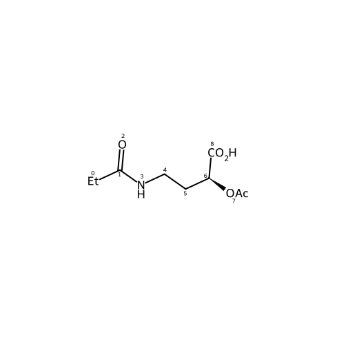 CCC(=O)NCC[C@H](OC(C)=O)C(=O)O